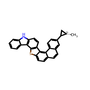 C[C@H]1CC1c1ccc2c(ccc3ccc4sc5c(ccc6[nH]c7ccccc7c65)c4c32)c1